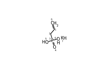 C=CCP(=O)(O)O.[KH]